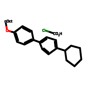 CCCCCCCCOc1ccc(-c2ccc(C3CCCCC3)cc2)cc1.O=C(O)Cl